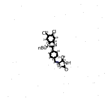 CCCCn1c(-c2ccc(/C=C3/SC(=O)NC3=O)cc2)nc2cc(Cl)c(Cl)cc21